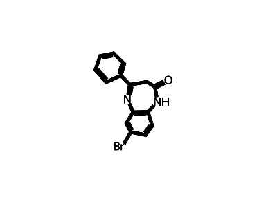 O=C1CC(c2ccccc2)=Nc2cc(Br)ccc2N1